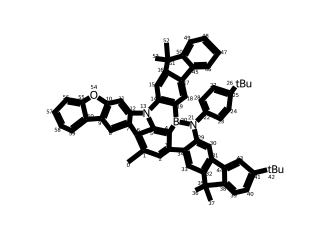 Cc1cc2c3c4c1c1cc5c(cc1n4-c1cc4c(cc1B3N(c1ccc(C(C)(C)C)cc1)c1cc3c(cc1-2)C(C)(C)c1ccc(C(C)(C)C)cc1-3)-c1ccccc1C4(C)C)oc1ccccc15